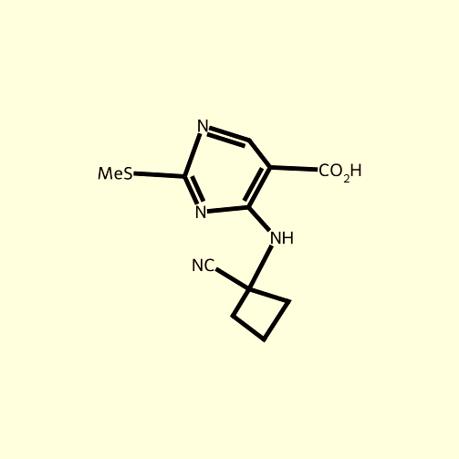 CSc1ncc(C(=O)O)c(NC2(C#N)CCC2)n1